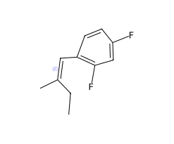 CC/C(C)=C\c1ccc(F)cc1F